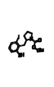 CC(C)(C)OC(=O)N1CCCC1Cc1c(S)cccc1I